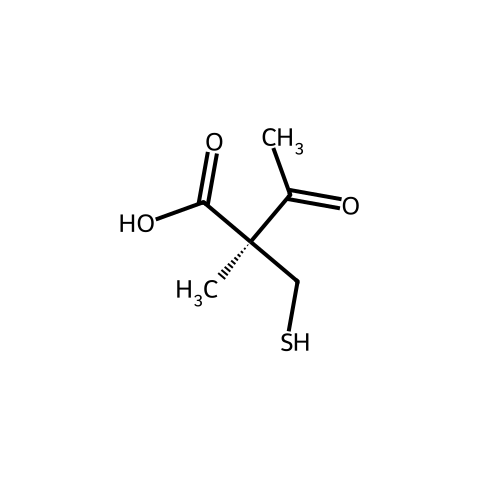 CC(=O)[C@@](C)(CS)C(=O)O